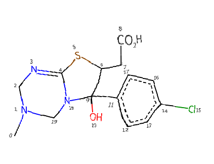 CN1CN=C2SC(CC(=O)O)C(O)(c3ccc(Cl)cc3)N2C1